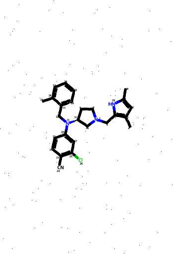 Cc1cc(C)c(CN2CC[C@H](N(Cc3ccccc3C)c3ccc(C#N)c(Cl)c3)C2)[nH]1